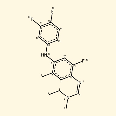 CCN(C)/C=N\c1cc(C)c(Nc2ccc(F)c(F)c2)cc1F